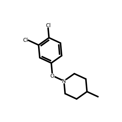 CC1CCN(Oc2ccc(Cl)c(Cl)c2)CC1